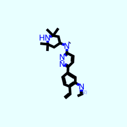 C=Cc1ccc(-c2ccc(N(C)C3CC(C)(C)NC(C)(C)C3)nn2)cc1/N=C\C